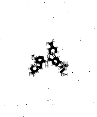 COc1ccc(NC(=O)c2ccc(NS(=O)(=O)CCO)cc2N2CCC(=C(F)F)CC2)c2cc3n(c12)CCC(F)(F)C3